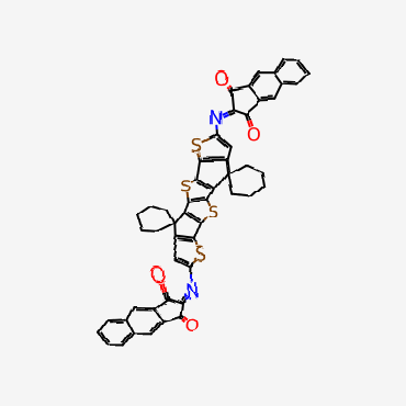 O=c1c(=Nc2cc3c(s2)-c2sc4c5c(sc4c2C32CCCCC2)-c2sc(N=c3c(=O)c4cc6ccccc6cc4c3=O)cc2C52CCCCC2)c(=O)c2cc3ccccc3cc12